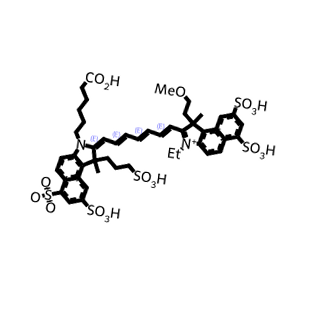 CC[N+]1=C(/C=C/C=C/C=C/C=C2/N(CCCCCC(=O)O)c3ccc4c(S(=O)(=O)[O-])cc(S(=O)(=O)O)cc4c3C2(C)CCCS(=O)(=O)O)C(C)(CCOC)c2c1ccc1c(S(=O)(=O)O)cc(S(=O)(=O)O)cc21